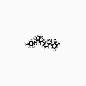 Cc1ncc(-c2cccc3c(-c4cccc(F)c4F)ncn23)cc1C(=O)Nc1ccc(F)cc1